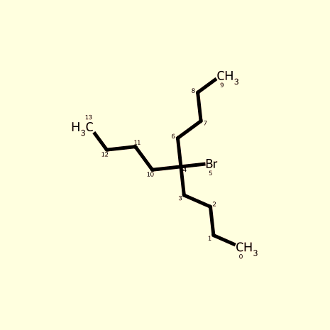 CCCCC(Br)(CCCC)CCCC